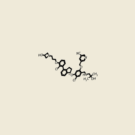 CC(C)(O)CNCc1cc(Cl)c(O[C@H]2CCc3c(-c4cccc(OCCCN5CC(O)C5)c4Cl)cccc32)cc1OCc1cncc(C#N)c1